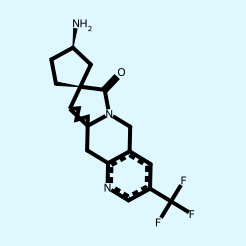 N[C@@H]1CC[C@@]2(C1)C(=O)N1Cc3cc(C(F)(F)F)cnc3CC13CCCC32